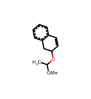 COC(C)O[C]1C=Cc2ccccc2C1